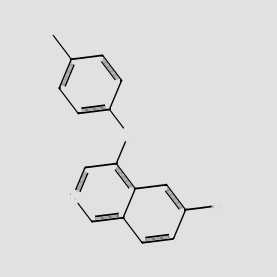 Cc1ccc(Sc2cncc3ccc(Br)cc23)cc1